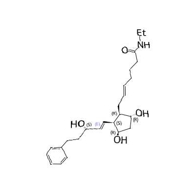 CCNC(=O)CCCC=CC[C@@H]1[C@H](/C=C/[C@@H](O)CCc2ccccc2)[C@H](O)C[C@H]1O